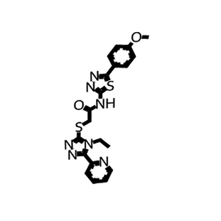 CCn1c(SCC(=O)Nc2nnc(-c3ccc(OC)cc3)s2)nnc1-c1ccccn1